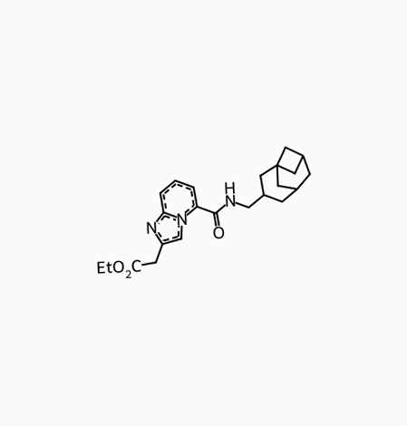 CCOC(=O)Cc1cn2c(C(=O)NCC3CC4CC5CC(C3)(C4)C5)cccc2n1